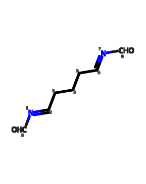 O=CN=CCCCC=NC=O